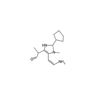 CC(C=O)C1=C(/C=C\N)N(C)C(C2CCCC2)N1